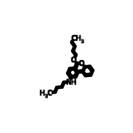 CCCCCNc1ccc2c(c1)=C1C=CC=CC1OC=2OCCCCC